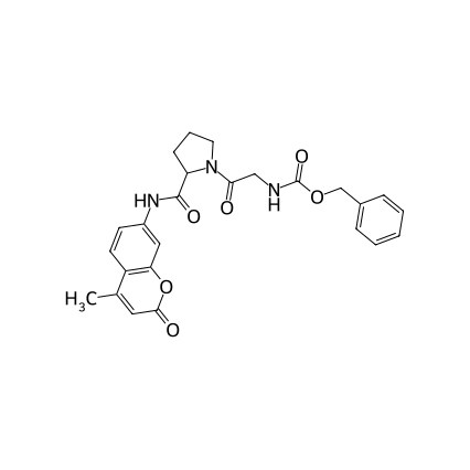 Cc1cc(=O)oc2cc(NC(=O)C3CCCN3C(=O)CNC(=O)OCc3ccccc3)ccc12